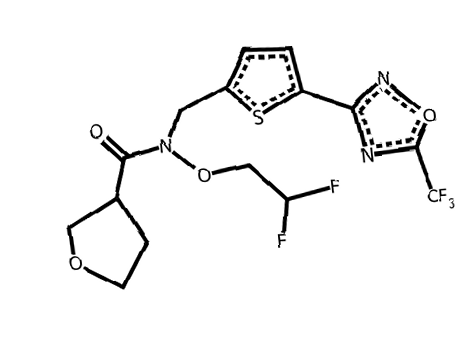 O=C(C1CCOC1)N(Cc1ccc(-c2noc(C(F)(F)F)n2)s1)OCC(F)F